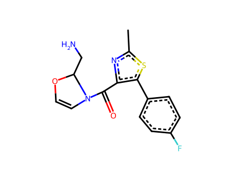 Cc1nc(C(=O)N2C=COC2CN)c(-c2ccc(F)cc2)s1